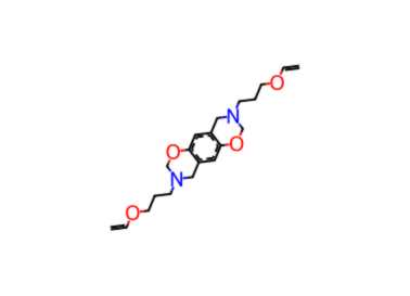 C=COCCCN1COc2cc3c(cc2C1)OCN(CCCOC=C)C3